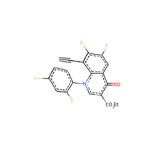 C#Cc1c(F)c(F)cc2c(=O)c(C(=O)OCC)cn(-c3ccc(F)cc3F)c12